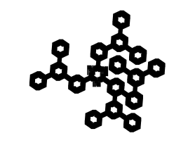 c1ccc(-c2cc(-c3ccccc3)cc(-c3cccc(-c4nc(-c5cccc(-c6cc(-c7ccccc7)cc(-c7ccccc7)c6)c5)nc(-c5ccc(-c6ccccc6-c6cc(-c7ccccc7)cc(-c7ccccc7)c6)c(-c6cc(-c7ccccc7)cc(-c7ccccc7)c6)c5)n4)c3)c2)cc1